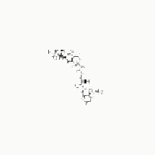 COc1ccccc1/C=C/C(=O)NCCCCN1CCc2ccc(OS(=O)(=O)C(F)(F)F)cc2C1